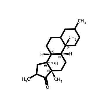 CC1CC[C@@]2(C)C(CC[C@@H]3[C@H]2CC[C@]2(C)C(=O)C(C)C[C@@H]32)C1